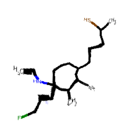 C=CNC1(/C=C/CF)CCC(CCCC(C)S)C(CCC)C1C